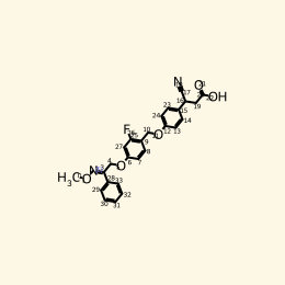 CO/N=C(/COc1ccc(COc2ccc(C(C#N)CC(=O)O)cc2)c(F)c1)c1ccccc1